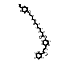 C=Cc1ccc(OCCCCCCCCCCC(=O)Oc2ccc(C=CC(=O)c3ccccc3)cc2)cc1